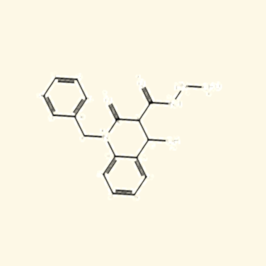 O=CNNC(=O)C1C(=O)N(Cc2ccccc2)c2ccccc2C1O